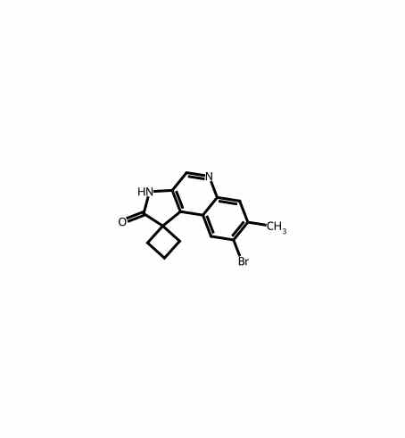 Cc1cc2ncc3c(c2cc1Br)C1(CCC1)C(=O)N3